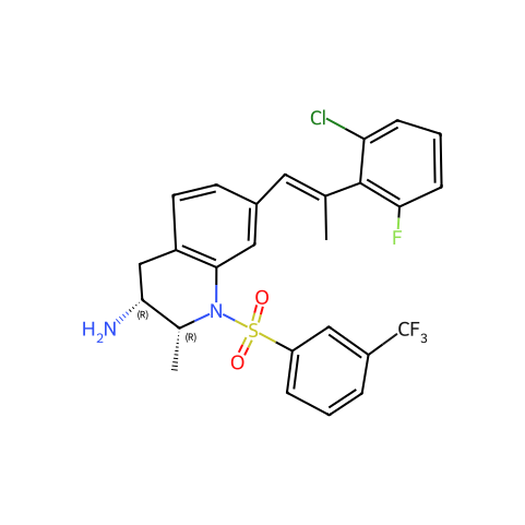 CC(=Cc1ccc2c(c1)N(S(=O)(=O)c1cccc(C(F)(F)F)c1)[C@H](C)[C@H](N)C2)c1c(F)cccc1Cl